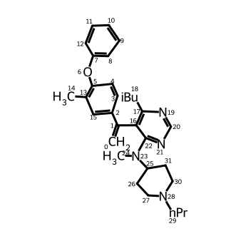 C=C(c1ccc(Oc2ccccc2)c(C)c1)c1c(C(C)CC)ncnc1N(C)C1CCN(CCC)CC1